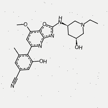 CCN1C[C@@H](O)C[C@@H](Nc2nc3nc(-c4c(C)cc(C#N)cc4O)cc(OC)c3o2)C1